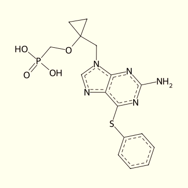 Nc1nc(Sc2ccccc2)c2ncn(CC3(OCP(=O)(O)O)CC3)c2n1